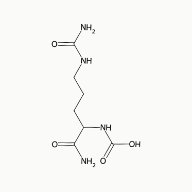 NC(=O)NCCCC(NC(=O)O)C(N)=O